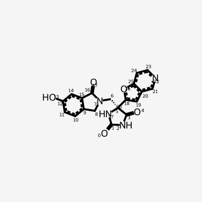 O=C1NC(=O)[C@](CN2Cc3ccc(O)cc3C2=O)(c2cc3cnccc3o2)N1